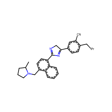 CC(C)Cc1ccc(C2=NC(c3ccc(CN4CCCC4C)c4ccccc34)=NC2)cc1C#N